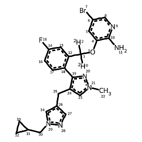 [2H]C([2H])(Oc1cc(Br)cnc1N)c1cc(F)ccc1-c1nn(C)cc1Cc1cnn(CC2CC2)c1